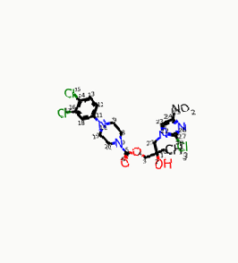 CC(O)(COC(=O)N1CCN(c2ccc(Cl)c(Cl)c2)CC1)Cn1cc([N+](=O)[O-])nc1Cl